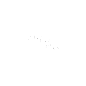 C=C(C)C(=O)OC(OCCCCC(F)(F)C(F)(F)S)(C(=O)NCC(C)=O)C(F)(F)F